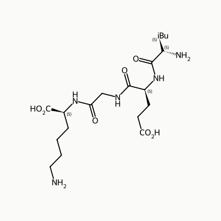 CC[C@H](C)[C@H](N)C(=O)N[C@@H](CCC(=O)O)C(=O)NCC(=O)N[C@@H](CCCCN)C(=O)O